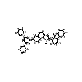 c1ccc(-c2nc(-c3ccccc3)nc(-c3ccc4c5c(ccc4c3)SC(c3cccc4c3oc3ccccc34)N5)n2)cc1